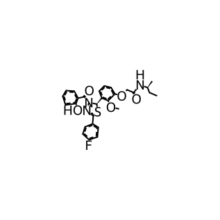 CC[C@H](C)NC(=O)COc1cccc([C@H]2SC(c3ccc(F)cc3)=NN2C(=O)c2ccccc2O)c1OC